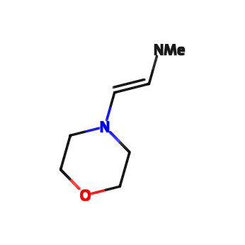 CNC=CN1CCOCC1